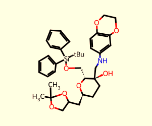 CC1(C)OCC(C[C@@H]2CC[C@@](O)(CNc3ccc4c(c3)OCCO4)[C@@H](CO[Si](c3ccccc3)(c3ccccc3)C(C)(C)C)O2)O1